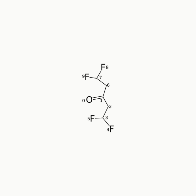 O=C(CC(F)F)CC(F)F